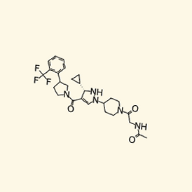 CC(=O)NCC(=O)N1CCC(N2C=C(C(=O)N3CCC(c4ccccc4C(F)(F)F)C3)[C@H](C3CC3)N2)CC1